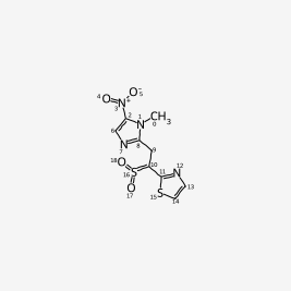 Cn1c([N+](=O)[O-])cnc1CC(c1nccs1)=S(=O)=O